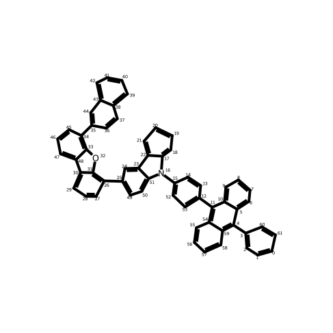 c1ccc(-c2c3ccccc3c(-c3ccc(-n4c5ccccc5c5cc(-c6cccc7c6oc6c(-c8ccc9ccccc9c8)cccc67)ccc54)cc3)c3ccccc23)cc1